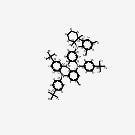 Cc1cc2c3c(c1)N(c1ccc(C(C)(C)C)cc1)c1cc(N4c5c(C)cc(C)cc5C5(C)CCCCC45C)ccc1B3c1cc(C(C)(C)C)ccc1N2c1ccc(C(C)(C)C)cc1